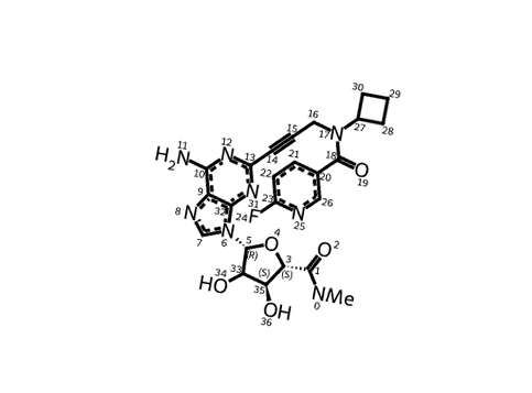 CNC(=O)[C@H]1O[C@@H](n2cnc3c(N)nc(C#CCN(C(=O)c4ccc(F)nc4)C4CCC4)nc32)C(O)[C@@H]1O